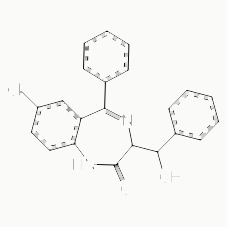 CC(c1ccccc1)C1N=C(c2ccccc2)c2cc(Cl)ccc2NC1=O